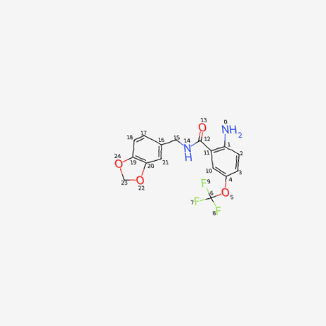 Nc1ccc(OC(F)(F)F)cc1C(=O)NCc1ccc2c(c1)OCO2